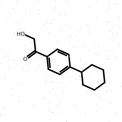 O=C(CO)c1ccc(C2CCCCC2)cc1